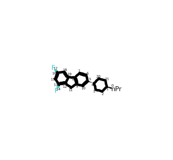 CCC[C@H]1CC[C@H](c2ccc3c(c2)Cc2c(F)cc(F)cc2-3)CC1